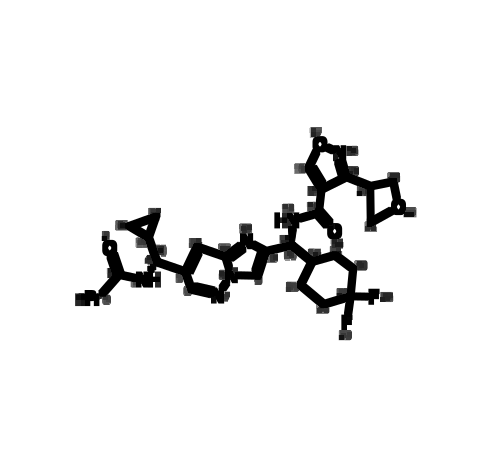 CCCC(=O)N[C@@H](c1cnn2cc([C@@H](NC(=O)c3conc3C3COC3)C3CCC(F)(F)CC3)nc2c1)C1CC1